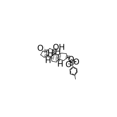 Cc1ccc(S(=O)(=O)O[C@@H]2CC[C@@]3(C)[C@@H](CC[C@@H]4[C@@H]3[C@@H](O)C[C@]3(C)C(=O)CC[C@@H]43)C2)cc1